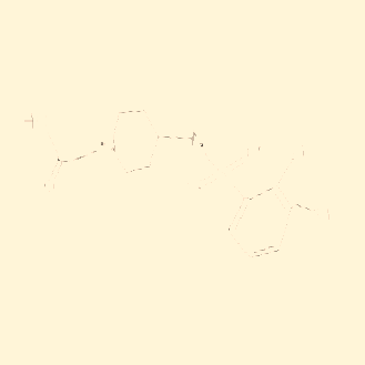 O=C(O)N1CCC(NS(=O)(=O)c2cccc(Cl)c2Cl)CC1